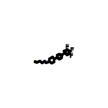 C=CCC/C=C/C1CCC(c2ccc(-c3cc(F)c(F)c(F)c3)cc2)CC1